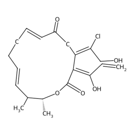 C=C/C(O)=C1/C(=O)O[C@H](C)C(C)/C=C/CC/C=C/C(=O)C/C1=C(\Cl)CO